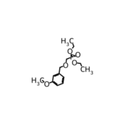 CCOP(=O)(COCc1cccc(OC)c1)OCC